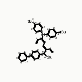 C=C/C(=C\C=C(/C=C)N(c1ccc(C(C)(C)C)cc1)c1ccc(C(C)(C)C)cc1)C(c1ccc(-c2ccccc2)cc1)C(C)(C)C